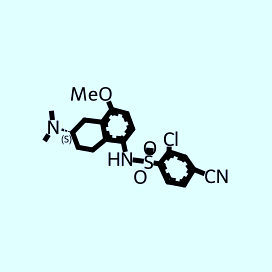 COc1ccc(NS(=O)(=O)c2ccc(C#N)cc2Cl)c2c1C[C@@H](N(C)C)CC2